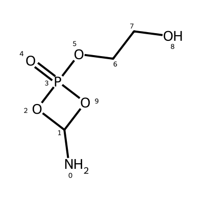 NC1OP(=O)(OCCO)O1